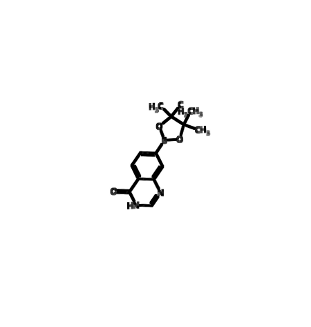 CC1(C)OB(c2ccc3c(=O)[nH]cnc3c2)OC1(C)C